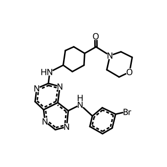 O=C(C1CCC(Nc2ncc3ncnc(Nc4cccc(Br)c4)c3n2)CC1)N1CCOCC1